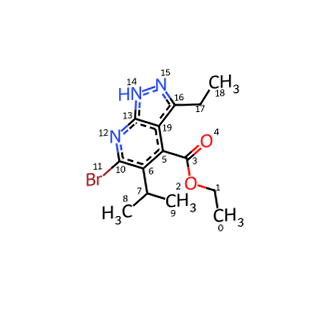 CCOC(=O)c1c(C(C)C)c(Br)nc2[nH]nc(CC)c12